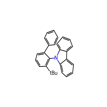 CC(C)(C)c1cccc(-c2ccccc2)c1-n1c2ccccc2c2ccccc21